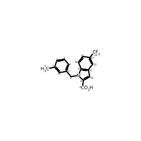 Cc1cccc(Cn2c(C(=O)O)cc3cc(C(F)(F)F)ccc32)c1